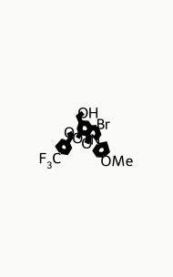 COc1ccc(-n2cc(Br)c3cc(CO)cc(OC(=O)c4ccc(C(F)(F)F)cc4)c3c2=O)cc1